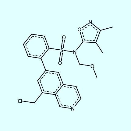 COCN(c1onc(C)c1C)S(=O)(=O)c1ccccc1-c1cc(CCl)c2cnccc2c1